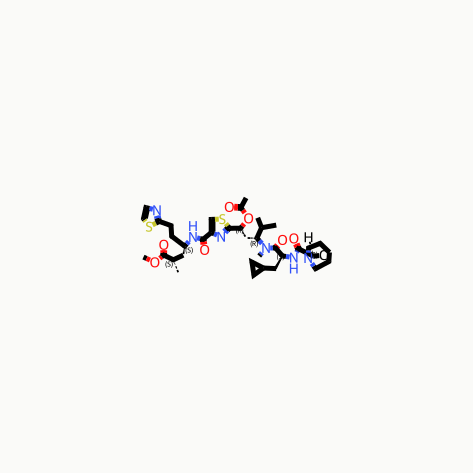 COC(=O)[C@@H](C)C[C@H](CCc1nccs1)NC(=O)c1csc([C@@H](C[C@H](C(C)C)N(C)C(=O)[C@H](CC2CC2)NC(=O)[C@H]2CC3CCN2CC3)OC(C)=O)n1